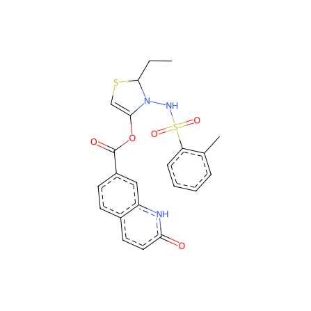 CCC1SC=C(OC(=O)c2ccc3ccc(=O)[nH]c3c2)N1NS(=O)(=O)c1ccccc1C